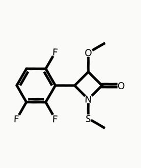 COC1C(=O)N(SC)C1c1c(F)ccc(F)c1F